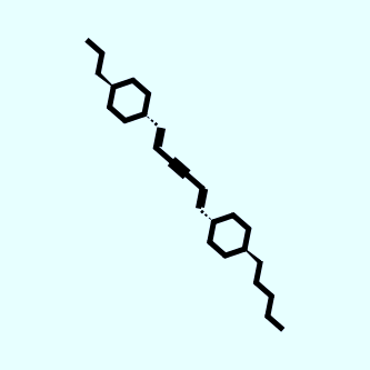 CCCCC[C@H]1CC[C@H](/C=C/C#C/C=C/[C@H]2CC[C@H](CCC)CC2)CC1